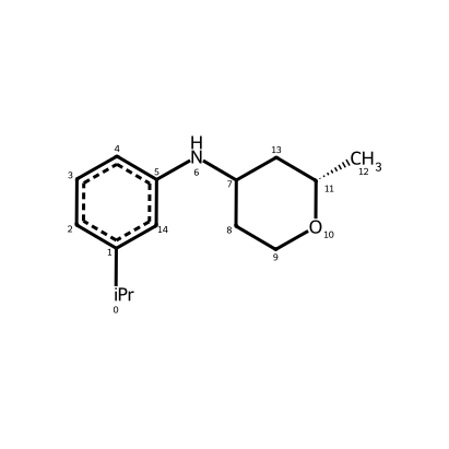 CC(C)c1cccc(NC2CCO[C@@H](C)C2)c1